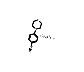 F.F.F.N#[N+]c1ccc(N2CCOCC2)cc1.[B].[F-]